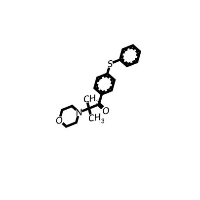 CC(C)(C(=O)c1ccc(Sc2ccccc2)cc1)N1CCOCC1